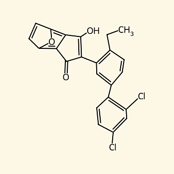 CCc1ccc(-c2ccc(Cl)cc2Cl)cc1C1=C(O)c2c(c3ccc2o3)C1=O